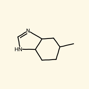 CC1CCC2NC=NC2C1